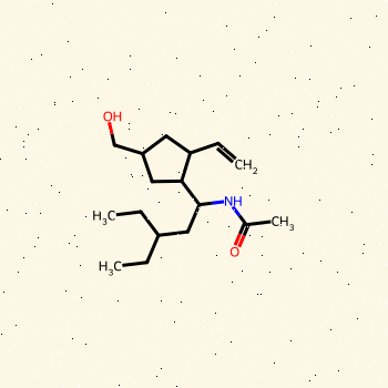 C=CC1CC(CO)CC1C(CC(CC)CC)NC(C)=O